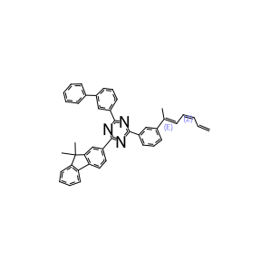 C=C/C=C\C=C(/C)c1cccc(-c2nc(-c3cccc(-c4ccccc4)c3)nc(-c3ccc4c(c3)C(C)(C)c3ccccc3-4)n2)c1